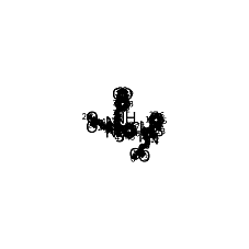 COC(=O)CCc1nc(Cl)c2c(n1)sc1ccccc12.COC(=O)CCc1nc(NCc2ccc3c(c2)OCO3)c2c(n1)sc1ccccc12